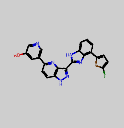 Oc1cncc(-c2ccc3[nH]nc(-c4nc5c(-c6ccc(F)s6)cccc5[nH]4)c3n2)c1